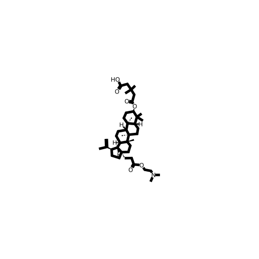 C=C(C)[C@@H]1CC[C@]2(CCC(=O)OCCN(C)C)CC[C@]3(C)[C@H](CC[C@@H]4[C@@]5(C)CC[C@H](OC(=O)CC(C)(C)CC(=O)O)C(C)(C)[C@@H]5CC[C@]43C)[C@@H]12